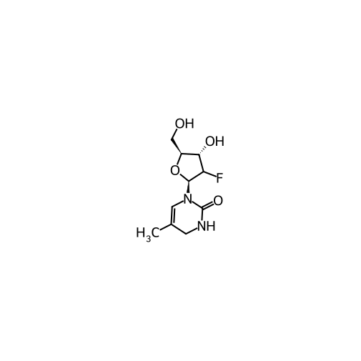 CC1=CN([C@H]2O[C@@H](CO)[C@H](O)C2F)C(=O)NC1